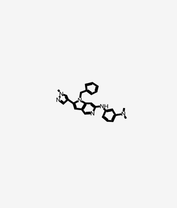 CN(C)c1cccc(Nc2cc3c(cn2)cc(-c2cnn(C)c2)n3Cc2ccccc2)c1